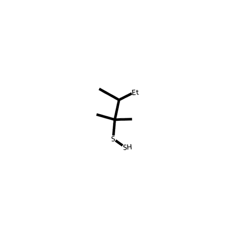 CCC(C)C(C)(C)SS